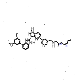 C=C/C=C\C=C(/C)CNCc1cncc(-c2ccc3[nH]nc(-c4nc5c(-c6cc(F)cc(OC)c6)cccc5[nH]4)c3n2)c1